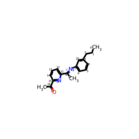 CCCc1cccc(/N=C(\C)c2cccc(C(C)=O)n2)c1